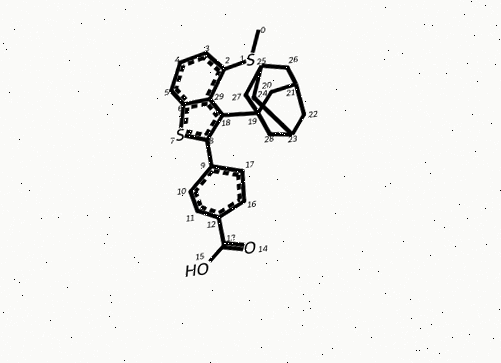 CSc1cccc2sc(-c3ccc(C(=O)O)cc3)c(C34CC5CC(CC(C5)C3)C4)c12